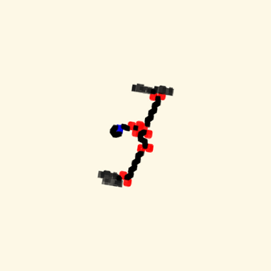 CCCCCCCCC(CCCCCC)OC(=O)CCCCCCCOC(=O)CCC(OC(=O)OCCN1CCCC1)C(=O)OCCCCCCCC(=O)OC(CCCCCC)CCCCCCCC